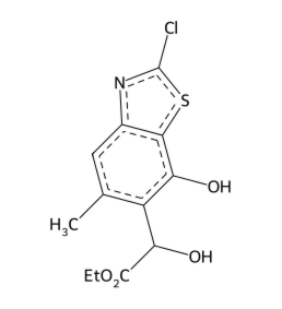 CCOC(=O)C(O)c1c(C)cc2nc(Cl)sc2c1O